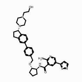 Nc1ncc(-c2ccns2)cc1C(=O)N[C@H]1CCC[C@@H]1OCc1ccc(-c2ccc3c(c2)CC[C@@H]3N2CCN(CCO)CC2)cc1